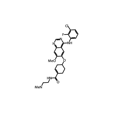 CNCCNC(=O)C1=CCC(Oc2cc3c(Nc4cccc(Cl)c4F)ncnc3cc2OC)CC1